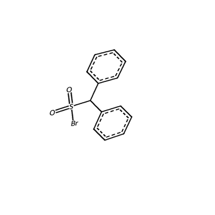 O=S(=O)(Br)C(c1ccccc1)c1ccccc1